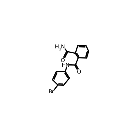 NC(=O)c1ccc[c]c1C(=O)Nc1ccc(Br)cc1